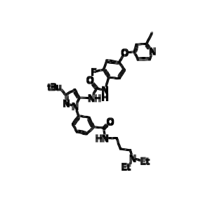 CCN(CC)CCCNC(=O)c1cccc(-n2nc(C(C)(C)C)cc2NC(=O)Nc2ccc(Oc3ccnc(C)c3)cc2F)c1